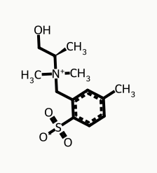 Cc1ccc(S(=O)(=O)[O-])c(C[N+](C)(C)[C@H](C)CO)c1